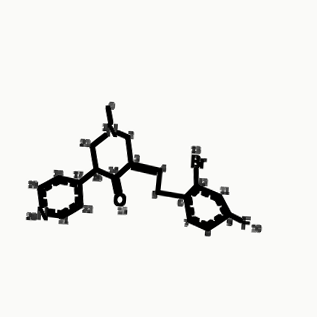 CN1CC(=CCc2ccc(F)cc2Br)C(=O)C(c2ccncc2)C1